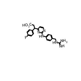 N=C(N)NCc1ccc(Nc2nccc(C(CC(=O)O)c3ccc(F)cc3)n2)cc1